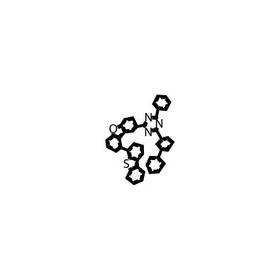 c1ccc(-c2cccc(-c3nc(-c4ccccc4)nc(-c4ccc5oc6cccc(-c7cccc8c7sc7ccccc78)c6c5c4)n3)c2)cc1